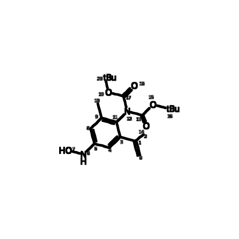 C=C(C)c1cc(NO)cc(C)c1N(C(=O)OC(C)(C)C)C(=O)OC(C)(C)C